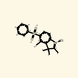 CC[N+]1=C(C)C(C)(C)c2c1ccc(S(=O)(=O)c1ccccc1)c2I